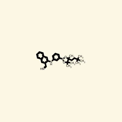 CC(C)(C)CCC1(C)OB(c2cccc(Nc3cc4ccccc4cc3C=N)c2)OC1(C)C